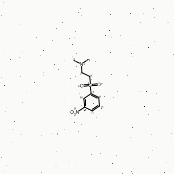 CN(C)CCS(=O)(=O)c1cccc([N+](=O)[O-])c1